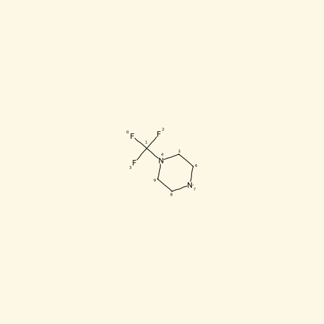 FC(F)(F)N1CC[N]CC1